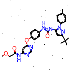 COCC(=O)Nc1cc(Oc2ccc(NC(=O)Nc3cc(C(C)(C)C)nn3-c3ccc(C)cc3)cc2)ncn1